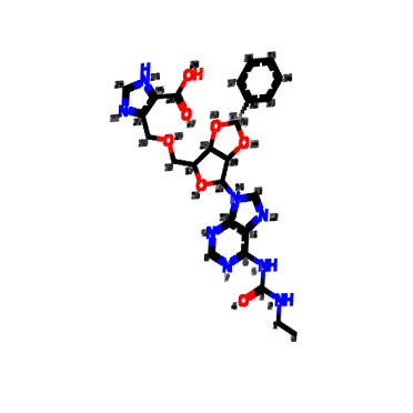 CCNC(=O)Nc1ncnc2c1ncn2C1OC(COCc2nc[nH]c2C(=O)O)C2O[C@H](c3ccccc3)OC21